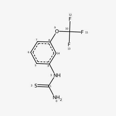 NC(=S)Nc1cccc(OC(F)(F)F)c1